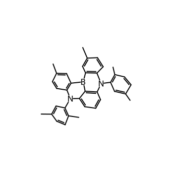 Cc1ccc2c(c1)B1c3cc(C)ccc3N(c3cc(C)ccc3C)c3cccc(c31)N2c1cc(C)ccc1C